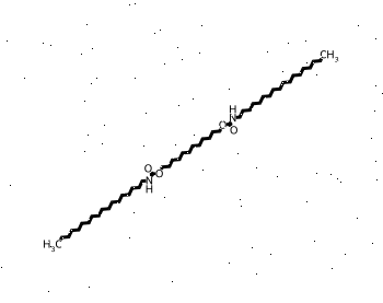 CCCCCCCCCCCCCCCCCCNC(=O)OCCCCCCCCCCCCOC(=O)NCCCCCCCCCCCCCCCCCC